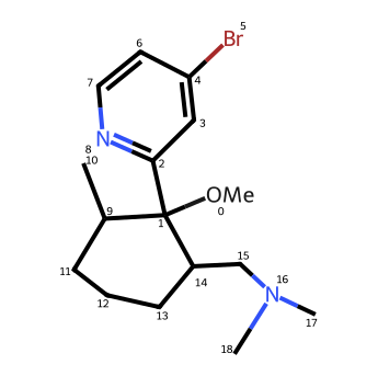 COC1(c2cc(Br)ccn2)C(C)CCCC1CN(C)C